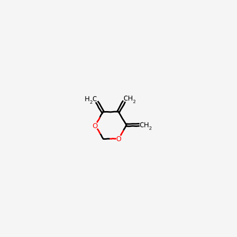 C=C1OCOC(=C)C1=C